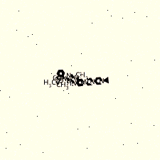 COc1cc(N2CCN(C3CCN(C4CC4)CC3)CC2)ccc1Nc1ncnc(Nc2ccccc2S(=O)(=O)C(C)C)n1